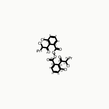 CC(C)C(Cl)C(=O)c1c(Cl)cccc1C(=O)OOC(=O)c1cccc(Cl)c1C(=O)C(Cl)C(C)C